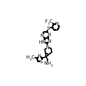 Cc1csc(C2(CN)C3CCN(c4nc5nc(Sc6cccnc6C(F)(F)F)cnc5[nH]4)CC32)n1